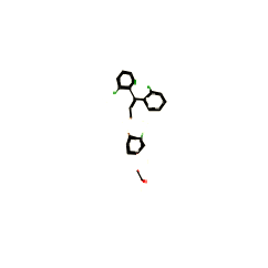 O=C(O)COc1ccc(SCC=C(c2ccccc2Cl)c2ccccc2Cl)c(Br)c1